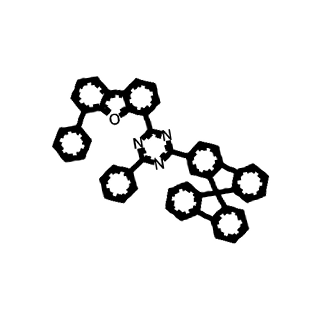 c1ccc(-c2nc(-c3ccc4c(c3)C3(c5ccccc5-c5ccccc53)c3ccccc3-4)nc(-c3cccc4c3oc3c(-c5ccccc5)cccc34)n2)cc1